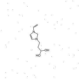 C=CN1C=CN(CCC(O)O)C1